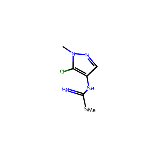 CNC(=N)Nc1cnn(C)c1Cl